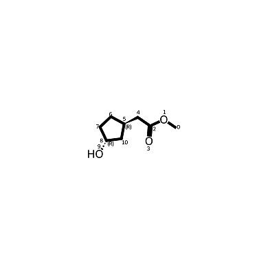 COC(=O)C[C@@H]1CC[C@@H](O)C1